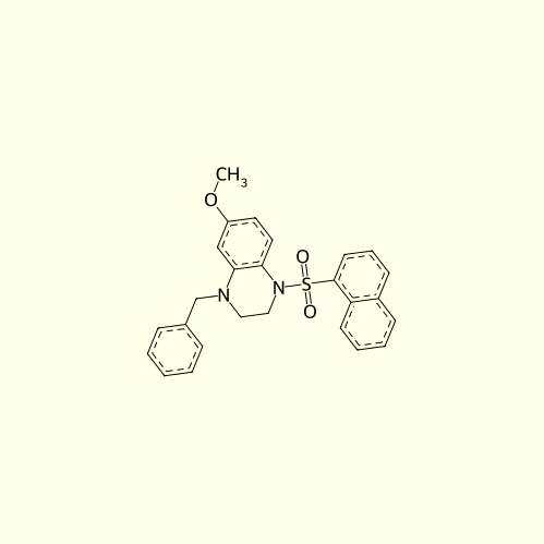 COc1ccc2c(c1)N(Cc1ccccc1)CCN2S(=O)(=O)c1cccc2ccccc12